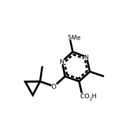 CSc1nc(C)c(C(=O)O)c(OC2(C)CC2)n1